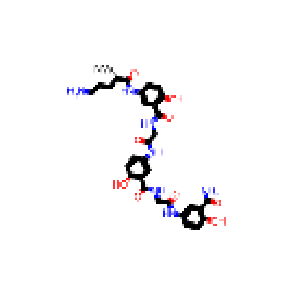 CN[C@H](CCCN)C(=O)Nc1ccc(O)c(C(=O)NCC(=O)Nc2ccc(O)c(C(=O)NCC(=O)Nc3ccc(O)c(C(N)=O)c3)c2)c1